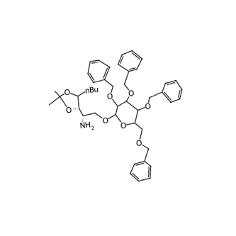 CCCCC1OC(C)(C)O[C@H]1[C@@H](N)COC1OC(COCc2ccccc2)C(OCc2ccccc2)C(OCc2ccccc2)C1OCc1ccccc1